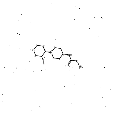 CC(C)(C)OC(=O)NC1CCN([C@@H]2CCOC[C@@H]2F)CC1